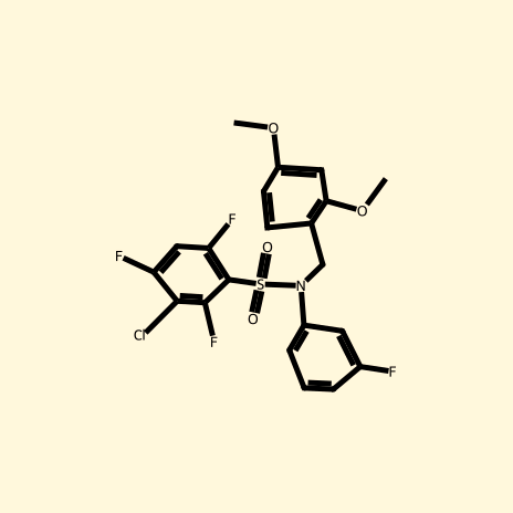 COc1ccc(CN(c2cccc(F)c2)S(=O)(=O)c2c(F)cc(F)c(Cl)c2F)c(OC)c1